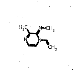 C=Cn1ccnc(C)/c1=N/C